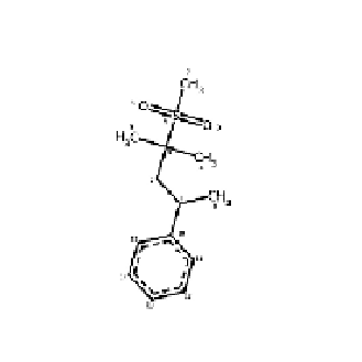 CC(CC(C)(C)S(C)(=O)=O)c1ccccc1